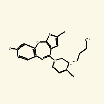 Cc1cc2c(s1)Nc1cc(Cl)ccc1N=C2N1CCN(C)[C@@H](CCCO)C1